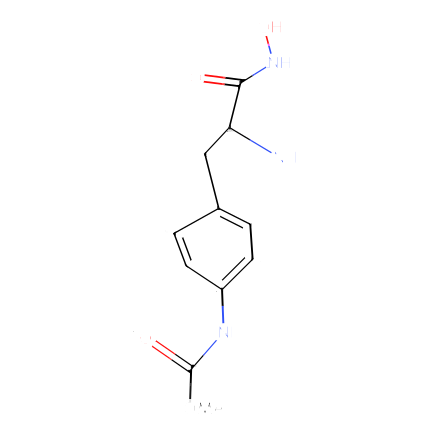 COC(=O)Nc1ccc(CC(N)C(=O)NO)cc1